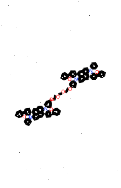 c1ccc(N(c2ccc3ccc4c(N(c5ccc(OCCOCCOCCOc6ccc(N(c7ccc8ccc9c(N(c%10ccccc%10)c%10cccc%11c%10oc%10ccccc%10%11)ccc%10ccc7c8c%109)c7cccc8c7oc7ccccc78)cc6)cc5)c5cccc6c5oc5ccccc56)ccc5ccc2c3c54)c2cccc3c2oc2ccccc23)cc1